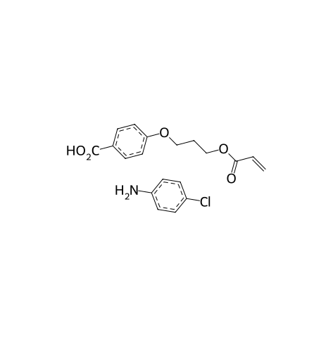 C=CC(=O)OCCCOc1ccc(C(=O)O)cc1.Nc1ccc(Cl)cc1